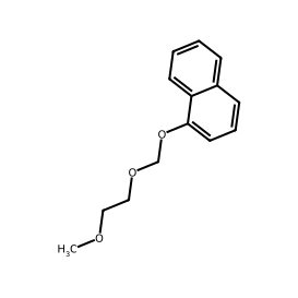 COCCOCOc1cccc2ccccc12